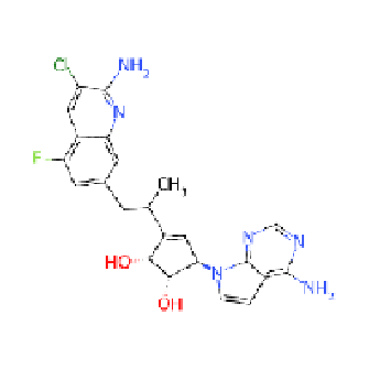 CC(Cc1cc(F)c2cc(Cl)c(N)nc2c1)C1=C[C@@H](n2ccc3c(N)ncnc32)[C@H](O)[C@@H]1O